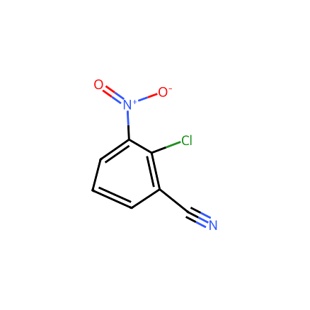 N#Cc1cccc([N+](=O)[O-])c1Cl